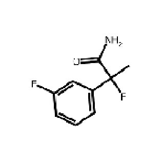 CC(F)(C(N)=O)c1cccc(F)c1